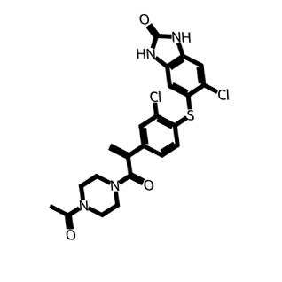 C=C(C(=O)N1CCN(C(C)=O)CC1)c1ccc(Sc2cc3[nH]c(=O)[nH]c3cc2Cl)c(Cl)c1